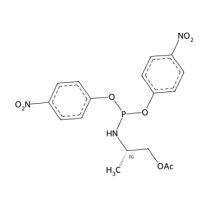 CC(=O)OC[C@H](C)NP(Oc1ccc([N+](=O)[O-])cc1)Oc1ccc([N+](=O)[O-])cc1